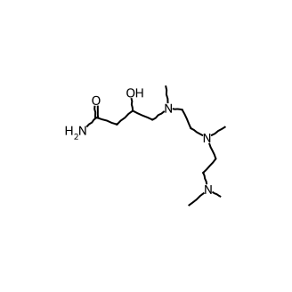 CN(C)CCN(C)CCN(C)CC(O)CC(N)=O